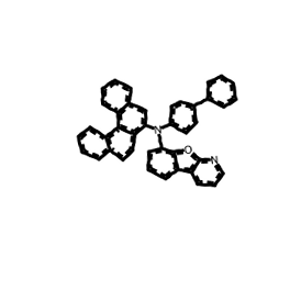 c1ccc(-c2ccc(N(c3cc4ccccc4c4c3ccc3ccccc34)c3cccc4c3oc3ncccc34)cc2)cc1